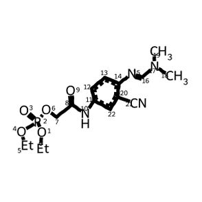 CCOP(=O)(OCC)OCC(=O)Nc1ccc(N=CN(C)C)c(C#N)c1